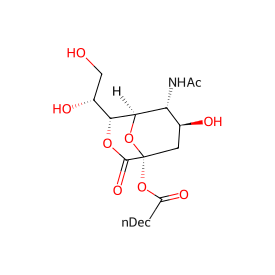 CCCCCCCCCCC(=O)O[C@@]12C[C@H](O)[C@@H](NC(C)=O)[C@@H](O1)[C@@H]([C@H](O)CO)OC2=O